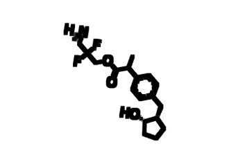 CC(C(=O)OCC(F)(F)CN)c1ccc(C[C@H]2CCC[C@@H]2O)cc1